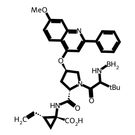 BNC(C(=O)N1C[C@H](Oc2cc(-c3ccccc3)nc3cc(OC)ccc23)C[C@H]1C(=O)N[C@]1(C(=O)O)C[C@@H]1C=C)C(C)(C)C